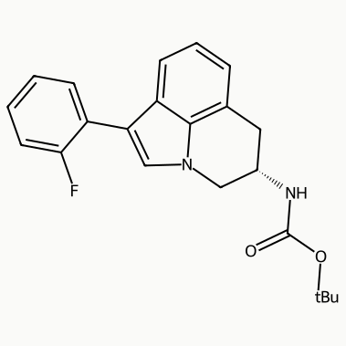 CC(C)(C)OC(=O)N[C@H]1Cc2cccc3c(-c4ccccc4F)cn(c23)C1